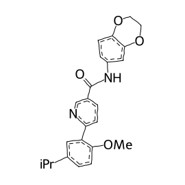 COc1ccc(C(C)C)cc1-c1ccc(C(=O)Nc2ccc3c(c2)OCCO3)cn1